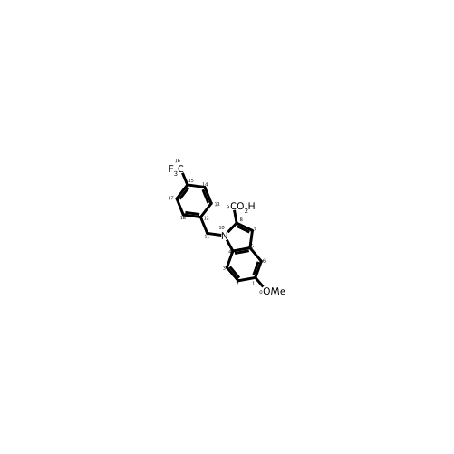 COc1ccc2c(c1)cc(C(=O)O)n2Cc1ccc(C(F)(F)F)cc1